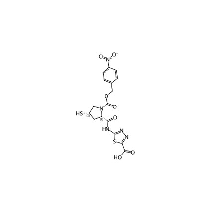 O=C(O)c1nnc(NC(=O)[C@@H]2C[C@H](S)CN2C(=O)OCc2ccc([N+](=O)[O-])cc2)s1